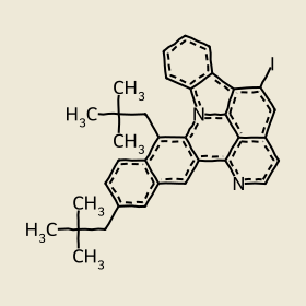 CC(C)(C)Cc1ccc2c(CC(C)(C)C)c3c(cc2c1)c1nccc2cc(I)c4c5ccccc5n3c4c21